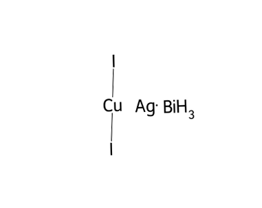 [Ag].[BiH3].[I][Cu][I]